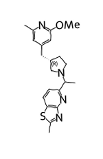 COc1cc(C[C@@H]2CCN(C(C)c3ccc4sc(C)nc4n3)C2)cc(C)n1